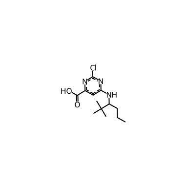 CCCC(Nc1cc(C(=O)O)nc(Cl)n1)C(C)(C)C